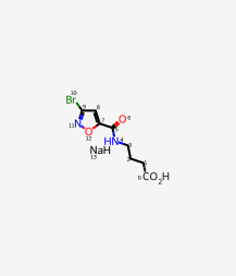 O=C(O)CCCNC(=O)c1cc(Br)no1.[NaH]